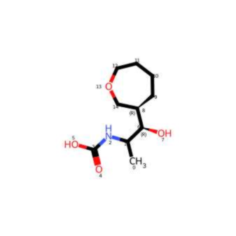 CC(NC(=O)O)[C@H](O)[C@@H]1CCCCOC1